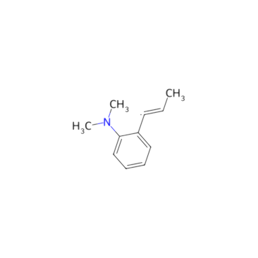 CC=[C]c1ccccc1N(C)C